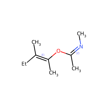 CC/C(C)=C(\C)O/C(C)=N\C